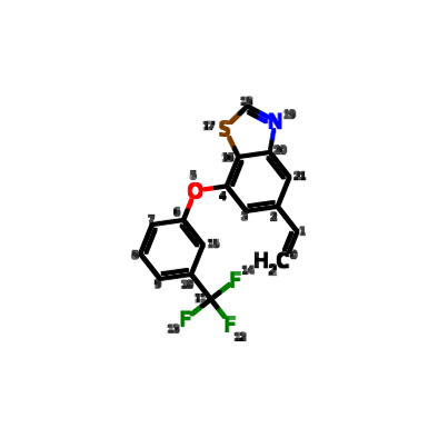 C=Cc1cc(Oc2cccc(C(F)(F)F)c2)c2scnc2c1